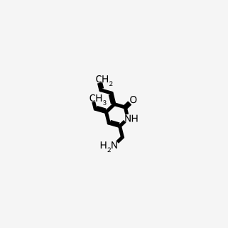 C=C/C=c1/c(=O)[nH]c(CN)c/c1=C/C